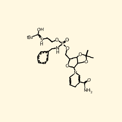 CC1(C)OC2C(COP(=O)(NCc3ccccc3)OCC[SH]=C(O)C(C)(C)C)OC(N3C=CCC(C(N)=O)=C3)C2O1